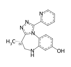 C[C@H]1CNc2cc(O)ccc2-n2c(-c3ccccn3)nnc21